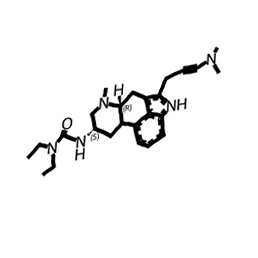 CCN(CC)C(=O)N[C@H]1CC2c3cccc4[nH]c(CC#CN(C)C)c(c34)C[C@H]2N(C)C1